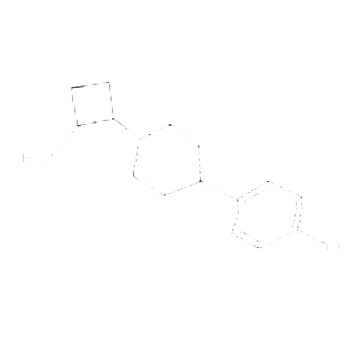 CC(C)c1ccc(C2CCC(C3CCC3C(=O)O)CC2)cc1